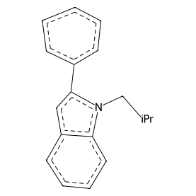 CC(C)Cn1c(-c2ccccc2)cc2ccccc21